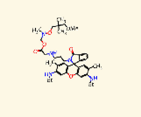 CCNc1cc2c(cc1C)C1(c3cc(C)c(NCC)cc3O2)c2ccccc2C(=O)N1CCCNCC(=O)OCN(C)OCC(C)(C)COC